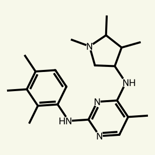 Cc1cnc(Nc2ccc(C)c(C)c2C)nc1NC1CN(C)C(C)C1C